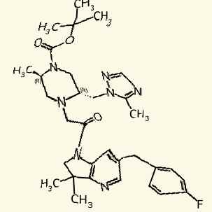 Cc1ncnn1C[C@H]1CN(C(=O)OC(C)(C)C)[C@H](C)CN1CC(=O)N1CC(C)(C)c2ncc(Cc3ccc(F)cc3)cc21